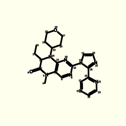 CCC1C(=O)N(C)c2cnc(-n3ccnc3-c3cnccn3)nc2N1C1CCOCC1